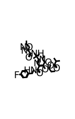 CCC(OC(=O)C(C)C)Oc1c(C(=O)NCc2ccc(F)cc2)nc(C(C)(C)NC(=O)c2nnc(C)o2)n(C)c1=O